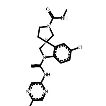 C=C(Nc1cnc(C)cn1)N1C[C@]2(CCN(C(=O)NC)C2)c2cc(Cl)ccc21